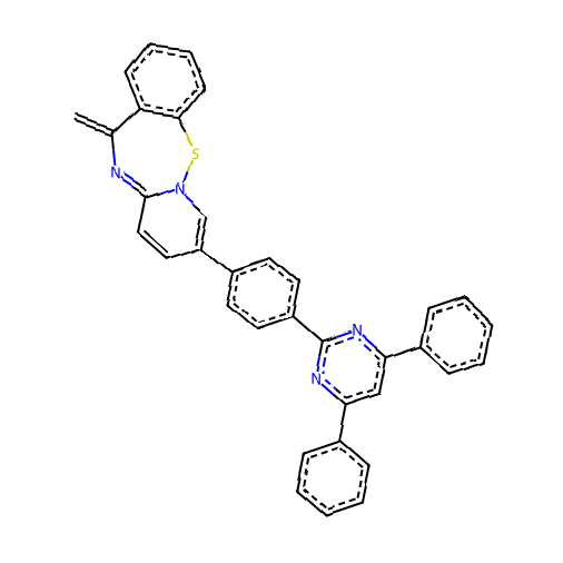 C=C1N=C2C=CC(c3ccc(-c4nc(-c5ccccc5)cc(-c5ccccc5)n4)cc3)=CN2Sc2ccccc21